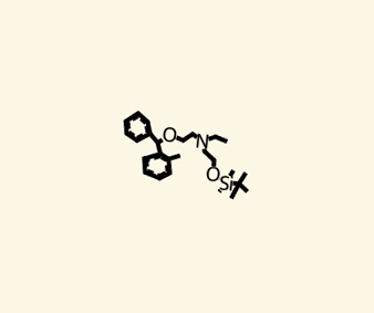 CCN(CCOC(c1ccccc1)c1ccccc1C)CCO[Si](C)(C)C(C)(C)C